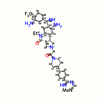 CCN(C(=O)[C@@H]1CCN(CC(=O)N2CC=C(c3ccc(C(=N)/N=C\NC)cc3)CC2)C1)c1ccc(N)c(C(=N)c2ccc(C(F)(F)F)c(N)c2)c1